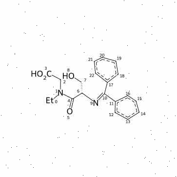 CCN(CC(=O)O)C(=O)[C@H](CO)N=C(c1ccccc1)c1ccccc1